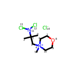 CC(C)(C[N+]1(C)CCOCC1)N(Cl)Cl.[Cl-]